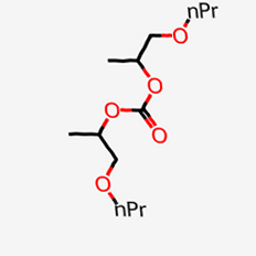 CCCOCC(C)OC(=O)OC(C)COCCC